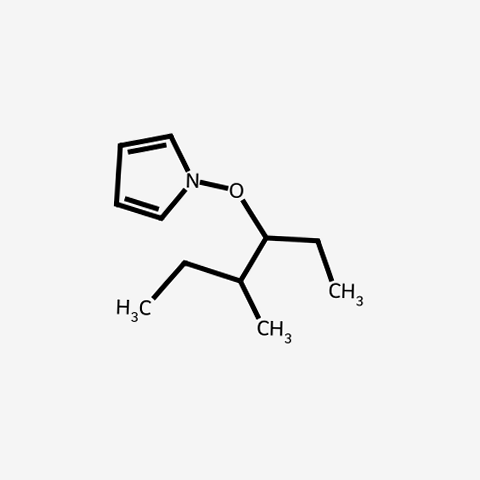 CCC(C)C(CC)On1cccc1